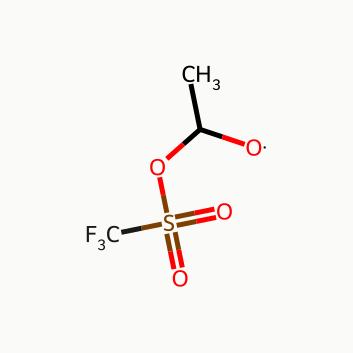 CC([O])OS(=O)(=O)C(F)(F)F